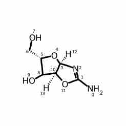 NC1=N[C@@H]2O[C@@H](CO)C(O)[C@@H]2O1